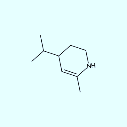 CC1=CC(C(C)C)CCN1